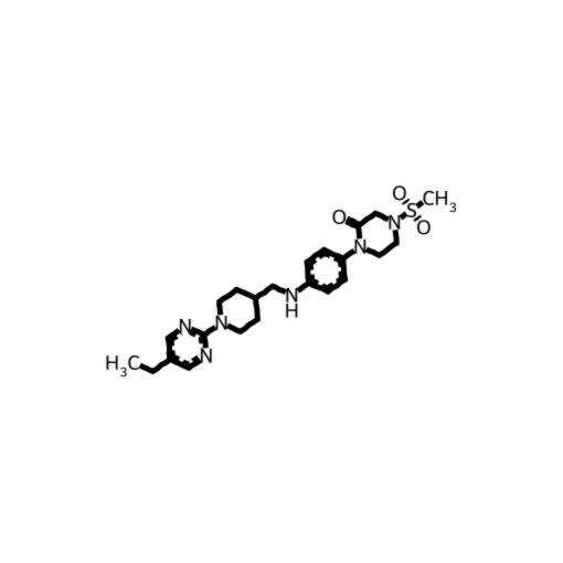 CCc1cnc(N2CCC(CNc3ccc(N4CCN(S(C)(=O)=O)CC4=O)cc3)CC2)nc1